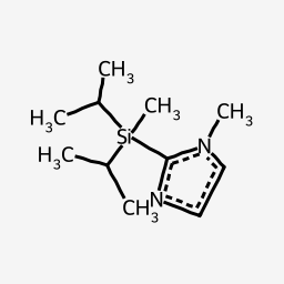 CC(C)[Si](C)(c1nccn1C)C(C)C